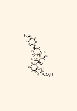 C=CC(N1C(C)CN(c2ccc(C(F)(F)F)cn2)CC1C)S(=O)(=O)c1cccc2c1CC(C(=O)O)C2